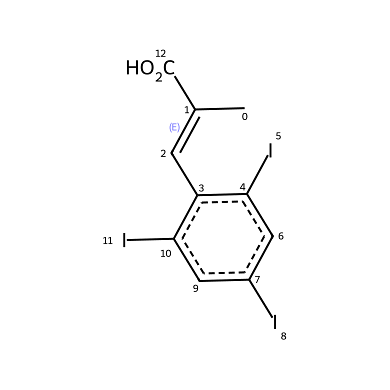 C/C(=C\c1c(I)cc(I)cc1I)C(=O)O